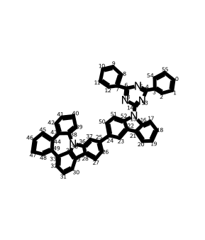 c1ccc(-c2nc(-c3ccccc3)nc(-n3c4ccccc4c4cc(-c5ccc6c7cccc8c7n(c6c5)-c5ccccc5-c5ccccc5-8)ccc43)n2)cc1